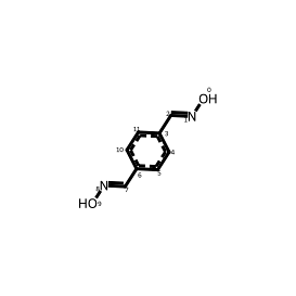 O/N=C/c1ccc(/C=N/O)cc1